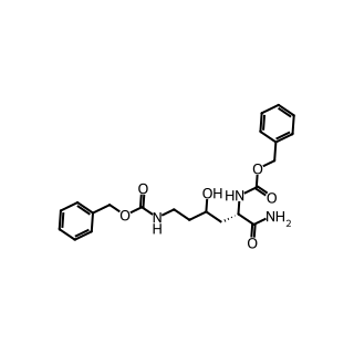 NC(=O)[C@H](CC(O)CCNC(=O)OCc1ccccc1)NC(=O)OCc1ccccc1